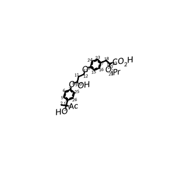 CC(=O)C(C)(O)c1ccc(OC(O)CCOc2ccc(CC(OC(C)C)C(=O)O)cc2)cc1